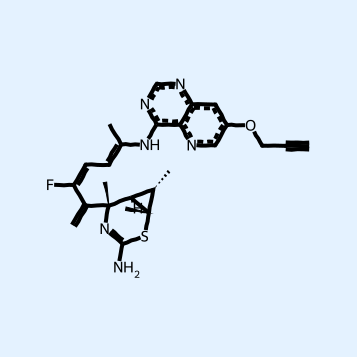 C#CCOc1cnc2c(N/C(C)=C/C=C(/F)C(=C)[C@@]3(C)N=C(N)S[C@]4(C)[C@H]3[C@@H]4C)ncnc2c1